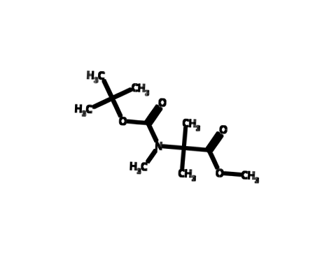 COC(=O)C(C)(C)N(C)C(=O)OC(C)(C)C